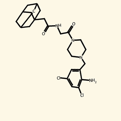 Nc1c(Cl)cc(Cl)cc1CN1CCN(C(=O)CNC(=O)CC23CC4CC(CC(C4)C2)C3)CC1